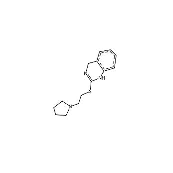 c1ccc2c(c1)CN=C(SCCN1CCCC1)N2